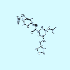 CC(C)Oc1cc(OCC2CCCC2)cc(C(=O)Nc2ccc(P(C)(=O)O)cn2)c1